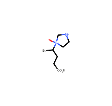 CCC(CCC(=O)O)[N+]1([O-])CCNC1